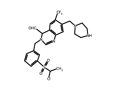 CC(Cl)S(=O)(=O)c1cccc(CN2C=Nc3cc(CN4CCNCC4)c(C(F)(F)F)cc3C2C=O)c1